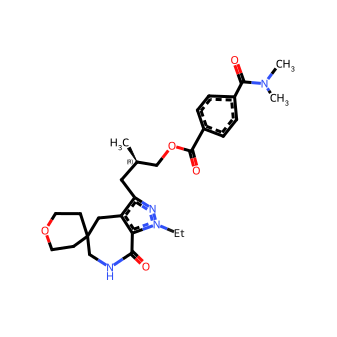 CCn1nc(C[C@@H](C)COC(=O)c2ccc(C(=O)N(C)C)cc2)c2c1C(=O)NCC1(CCOCC1)C2